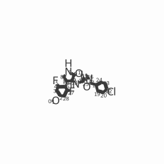 COc1cc(F)c([C@@H]2CNC(=O)[C@H]2Nc2nnc(-c3ccc(Cl)cc3)o2)c(F)c1